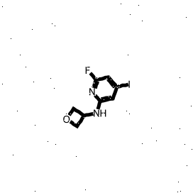 Fc1cc(I)cc(NC2COC2)n1